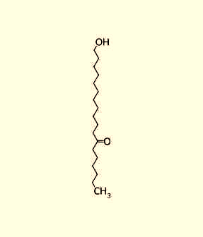 CCCCCCC(=O)CCCCCCCCCCCO